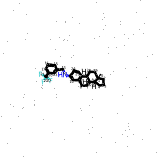 C[C@@]12CCC[C@H]1[C@@H]1CCc3cc(NCc4cccc(C(F)(F)F)c4)ccc3[C@H]1CC2